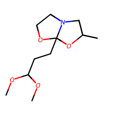 COC(CCC12OCCN1CC(C)O2)OC